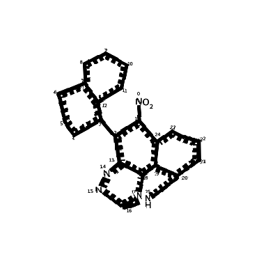 O=[N+]([O-])c1c(-c2cccc3ccccc23)c2nnc3nc2c2c(cccc12)[nH]3